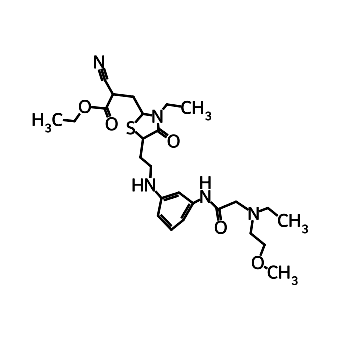 CCOC(=O)C(C#N)CC1SC(CCNc2cccc(NC(=O)CN(CC)CCOC)c2)C(=O)N1CC